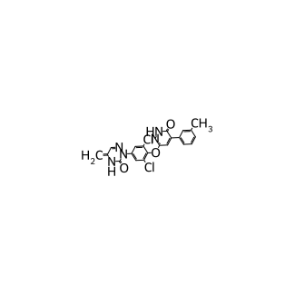 C=C1C=NN(c2cc(Cl)c(Oc3cc(-c4cccc(C)c4)c(=O)[nH]n3)c(Cl)c2)C(=O)N1